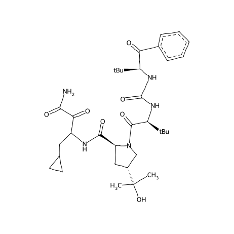 CC(C)(C)[C@H](NC(=O)N[C@H](C(=O)N1C[C@H](C(C)(C)O)C[C@H]1C(=O)NC(CC1CC1)C(=O)C(N)=O)C(C)(C)C)C(=O)c1ccccc1